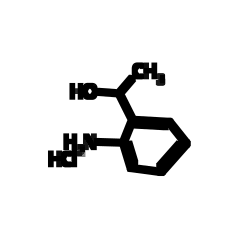 CC(O)c1ccccc1N.Cl